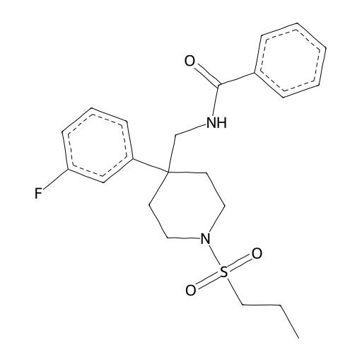 CCCS(=O)(=O)N1CCC(CNC(=O)c2ccccc2)(c2cccc(F)c2)CC1